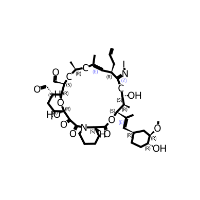 C=CC[C@@H]1/C=C(\C)C[C@H](C)C[C@H](C=O)[C@H]2O[C@@](O)(C(=O)C(=O)N3CCCC[C@H]3C(=O)O[C@H](/C(C)=C/[C@@H]3CC[C@@H](O)[C@H](OC)C3)[C@H](C)[C@@H](O)C/C1=N/I)[C@H](C)C[C@@H]2C=O